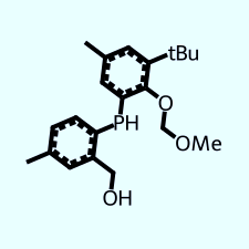 COCOc1c(Pc2ccc(C)cc2CO)cc(C)cc1C(C)(C)C